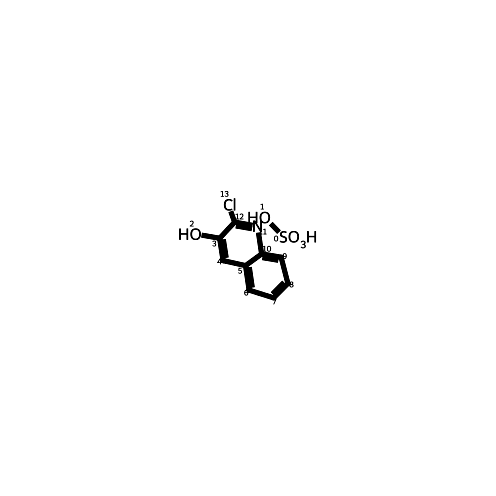 O=S(=O)(O)O.Oc1cc2ccccc2nc1Cl